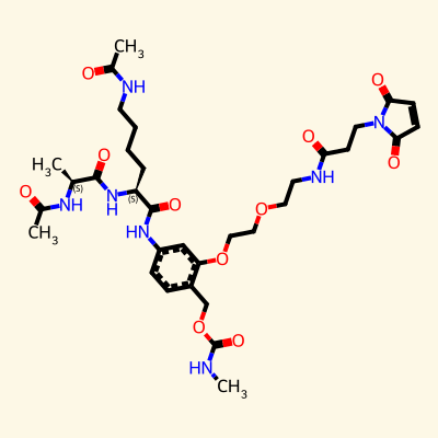 CNC(=O)OCc1ccc(NC(=O)[C@H](CCCCNC(C)=O)NC(=O)[C@H](C)NC(C)=O)cc1OCCOCCNC(=O)CCN1C(=O)C=CC1=O